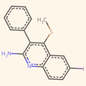 CSc1c(-c2ccccc2)c(N)nc2ccc(I)cc12